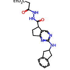 CCOC(=O)CC(=O)NNC(=O)C1CCc2nc(NC3Cc4ccccc4C3)ncc21